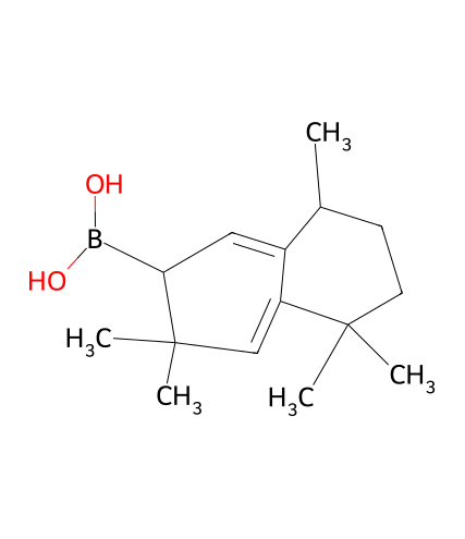 CC1CCC(C)(C)C2=CC(C)(C)C(B(O)O)C=C21